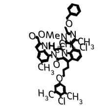 COC(=O)c1cc2cc(C)cc(N3C[C@@H](C)n4c(c(CCCOc5cc(C)c(Cl)c(C)c5)c5ccc(Cl)c(-c6c(C)nc(COCc7ccccc7)nc6C)c54)C3=O)c2[nH]1